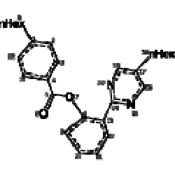 CCCCCCc1ccc(C(=O)Oc2ccccc2-c2ncc(CCCCCC)cn2)cc1